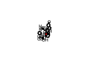 C[C@@H]1C[C@H]2[C@@H]3CCC4=CC(=O)C=C[C@]4(C)[C@@]3(F)[C@@H](O)C[C@]2(C)[C@@]1(O)C(=O)COP(=O)(O)OP(=O)(O)Oc1ccc(NC2OC2COC2C#CCCCCC2)cc1